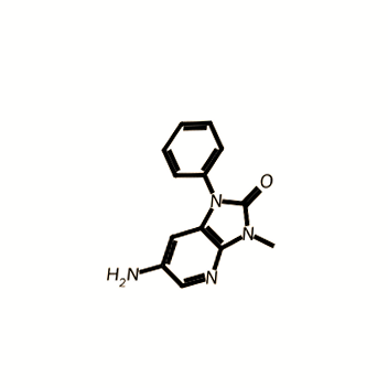 Cn1c(=O)n(-c2ccccc2)c2cc(N)cnc21